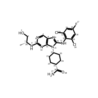 C[C@H](CO)Nc1ncc2nc(Nc3c(Cl)cc(F)cc3Cl)n([C@H]3CC[C@@H](C(N)=O)CC3)c2n1